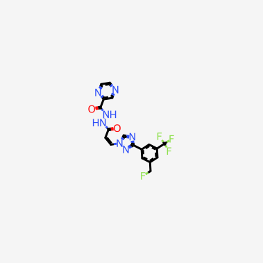 O=C(/C=C\n1cnc(-c2cc(CF)cc(C(F)(F)F)c2)n1)NNC(=O)c1cnccn1